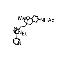 CCn1c(CCC(=O)Cc2cc(NC(C)=O)ccc2OC)nnc1-c1cccnc1